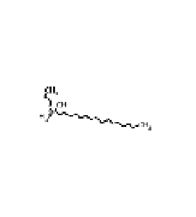 CCCCCCCCCCCCCCCC[Si](C)(C)OCCC